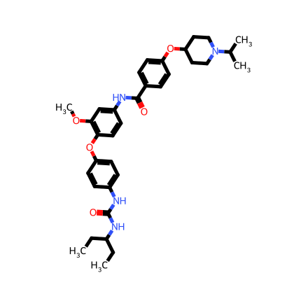 CCC(CC)NC(=O)Nc1ccc(Oc2ccc(NC(=O)c3ccc(OC4CCN(C(C)C)CC4)cc3)cc2OC)cc1